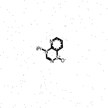 CC(C)N1C=N[S+]([O-])c2cccnc21